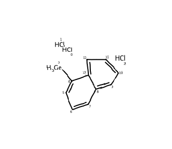 Cl.Cl.Cl.[GeH3][c]1cccc2ccccc12